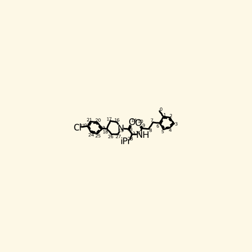 Cc1ccccc1CCC(=O)NC(C(=O)N1CCC(c2ccc(Cl)cc2)CC1)C(C)C